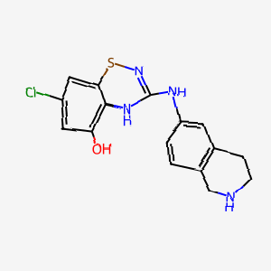 Oc1cc(Cl)cc2c1NC(Nc1ccc3c(c1)CCNC3)=NS2